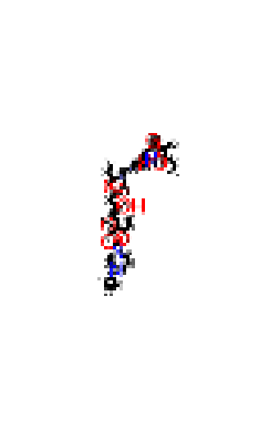 C=CC(OC(=O)N1CCCN(C2CCC2)CC1)C(C)(CCC(O)CC(=O)OC(CC)/C(C)=C/C=C/C(C)(CC1OC1C(C)C(O)CC)N=O)OC